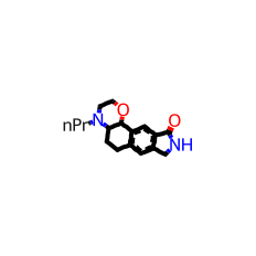 CCCN1CCOC2c3cc4c(cc3CCC21)CNC4=O